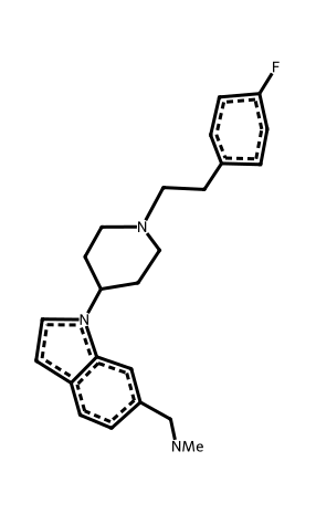 CNCc1ccc2ccn(C3CCN(CCc4ccc(F)cc4)CC3)c2c1